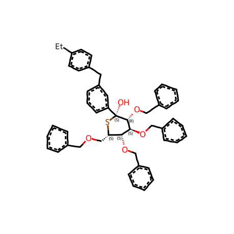 CCc1ccc(Cc2cccc([C@]3(O)S[C@@H](COCc4ccccc4)[C@@H](OCc4ccccc4)[C@H](OCc4ccccc4)[C@H]3OCc3ccccc3)c2)cc1